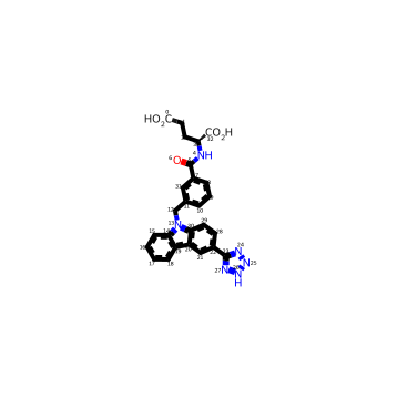 O=C(O)CC[C@H](NC(=O)c1cccc(Cn2c3ccccc3c3cc(-c4nn[nH]n4)ccc32)c1)C(=O)O